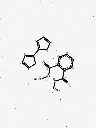 C1=CCC(C2=CC=CC2)=C1.CCCCCCCCOC(=O)c1ccccc1C(=O)OCCCCCCCC